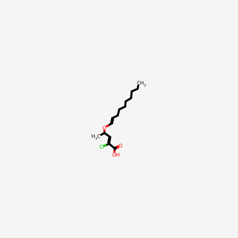 CCCCCCCCC=COC(C)C=C(Cl)C(=O)O